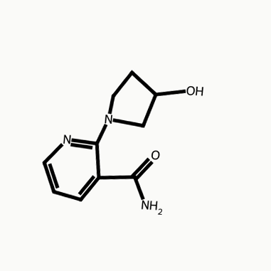 NC(=O)c1cccnc1N1CCC(O)C1